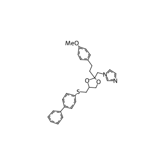 COc1ccc(CCC2(Cn3ccnc3)OCC(CSc3ccc(-c4ccccc4)cc3)O2)cc1